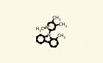 Cc1cc(-n2c3ccccc3c3cccc(C)c32)[n+](C)cc1C